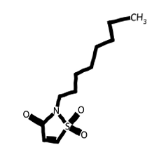 CCCCCCCCN1C(=O)C=CS1(=O)=O